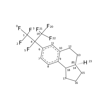 FC(F)(F)C(F)(c1ccc2c(c1)CC[C@H]1CCCC21)C(F)(F)F